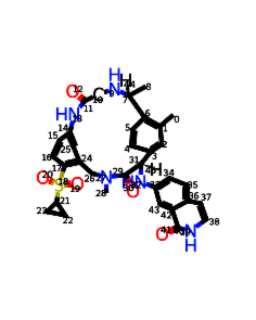 Cc1cc2ccc1[C@@H](C)NCC(=O)Nc1ccc(S(=O)(=O)C3CC3)c(c1)CN(C)C(=O)[C@@H]2Nc1ccc2cc[nH]c(=O)c2c1